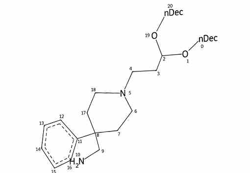 CCCCCCCCCCOC(CCN1CCC(CN)(c2ccccc2)CC1)OCCCCCCCCCC